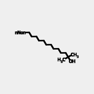 CCCCCCCCCCCCCCCCCCCCC(C)(C)O